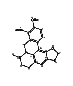 COc1ccc2c(c1OC)CC1c3c(cc4c(c3-2)OCO4)CCN1C